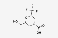 O=C(O)N1CC(CO)OC(C(F)(F)F)C1